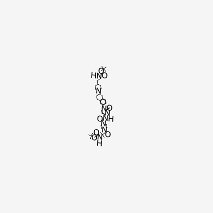 CC(C)(C)OC(=O)NCCC1CCN(C2CCc3cc(-n4ccc(NC(=O)N5CCN(C(=O)C(C)(C)NC(=O)OC(C)(C)C)CC5)nc4=O)ccc3C2)CC1